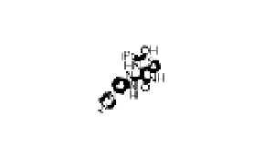 CC(C)C(CO)Nc1c(-c2nc3ccc(N4CCN(C)CC4)cc3[nH]2)c(=O)[nH]c2ccsc12